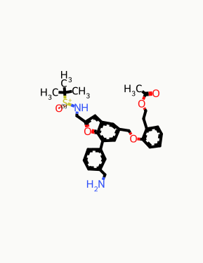 CC(=O)OCCc1ccccc1OCc1cc(-c2cccc(CN)c2)c2oc(CN[S@+]([O-])C(C)(C)C)cc2c1